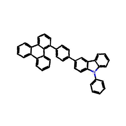 c1ccc(-n2c3ccccc3c3cc(-c4ccc(-c5cccc6c7ccccc7c7ccccc7c56)cc4)ccc32)cc1